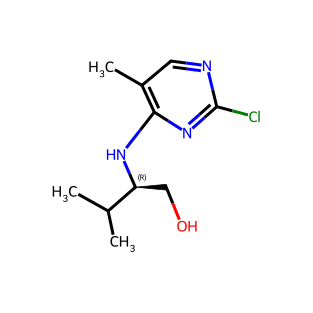 Cc1cnc(Cl)nc1N[C@@H](CO)C(C)C